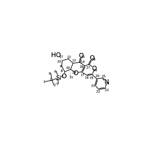 CC(C)(C)[Si](C)(C)OC1C[C@H](O)CC2C(=O)c3c(cc(-c4cccnc4)oc3=O)O[C@@]12C